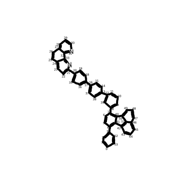 c1ccc(-c2ccc(-c3cccc(-c4ccc(-c5ccc(-c6ccc7ccc8cccnc8c7n6)cc5)cc4)c3)c3c2-c2cccc4cccc-3c24)cc1